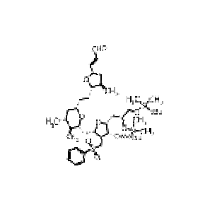 C=C1C[C@H](C=CC=O)O[C@H]1CC[C@H]1C[C@@H](C)C(=C)[C@@H](C[C@@H]2O[C@H](C[C@@H](CO[Si](C)(C)C(C)(C)C)O[Si](C)(C)C(C)(C)C)[C@H](OC)[C@H]2CS(=O)(=O)c2ccccc2)O1